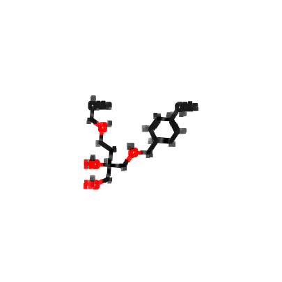 COCOCCC(O)(CO)COCc1ccc(OC)cc1